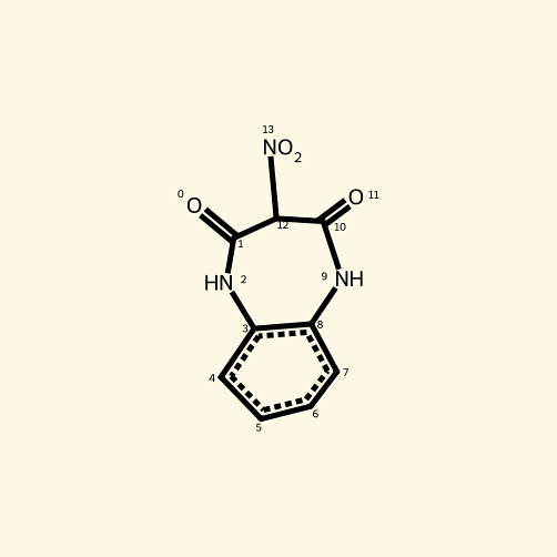 O=C1Nc2ccccc2NC(=O)C1[N+](=O)[O-]